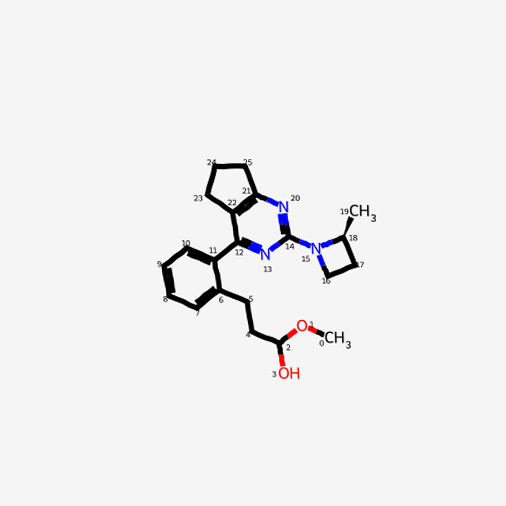 COC(O)CCc1ccccc1-c1nc(N2CC[C@@H]2C)nc2c1CCC2